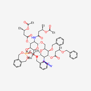 CCC(=O)O[C@H](CC)CC(=O)NC1[C@H](OCC2O[C@@H](O[Si](C)(C)C(C)(C)C)C(N=[N+]=[N-])[C@@H](OC(=O)C[C@@H](CC)OCc3ccccc3)[C@@H]2OCc2ccccc2)OC(COCc2ccccc2)[C@@H](OP2(=O)OCc3ccccc3CO2)[C@@H]1OC(=O)C[C@@H](CC)OC(=O)CC